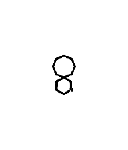 C1CCCC2(CCC1)CCC[N]C2